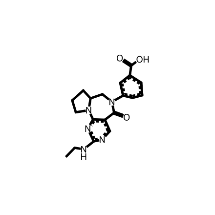 CCNc1ncc2c(n1)N1CCCC1CN(c1cccc(C(=O)O)c1)C2=O